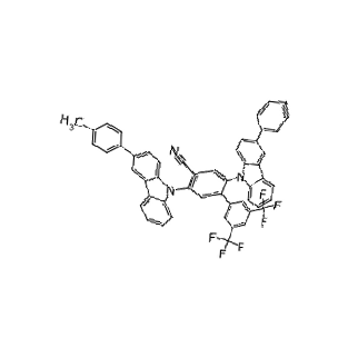 Cc1ccc(-c2ccc3c(c2)c2ccccc2n3-c2cc(-c3cc(C(F)(F)F)cc(C(F)(F)F)c3)c(-n3c4ccccc4c4cc(-c5ccccc5)ccc43)cc2C#N)cc1